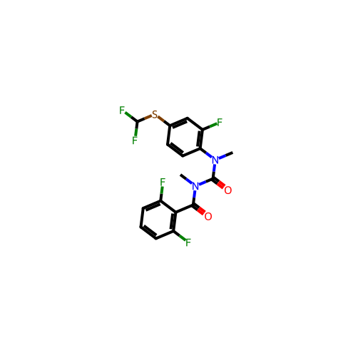 CN(C(=O)c1c(F)cccc1F)C(=O)N(C)c1ccc(SC(F)F)cc1F